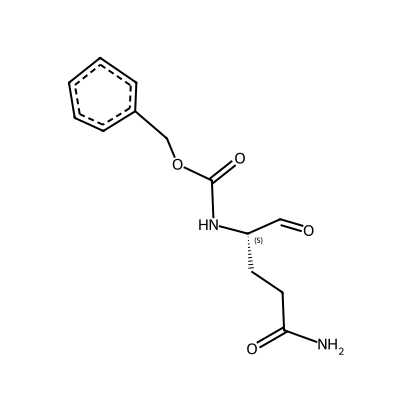 NC(=O)CC[C@@H](C=O)NC(=O)OCc1ccccc1